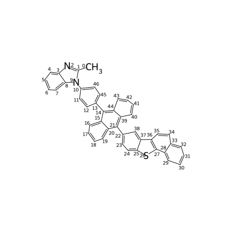 Cc1nc2ccccc2n1-c1ccc(-c2c3ccccc3c(-c3ccc4sc5c6ccccc6ccc5c4c3)c3ccccc23)cc1